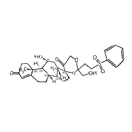 C[C@]12CCC(=O)C=C1CC[C@@H]1[C@@H]2[C@@H](O)C[C@@]2(C)[C@H]1CC[C@@]21OC(CO)(CCS(=O)(=O)c2ccccc2)OCC1=O